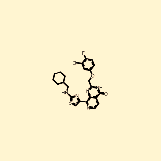 O=c1[nH]c(COc2ccc(F)c(Cl)c2)nc2c(-c3csc(NCC4CCCCC4)n3)nccc12